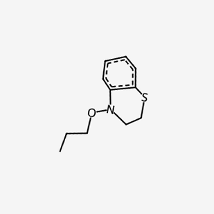 CCCON1CCSc2ccccc21